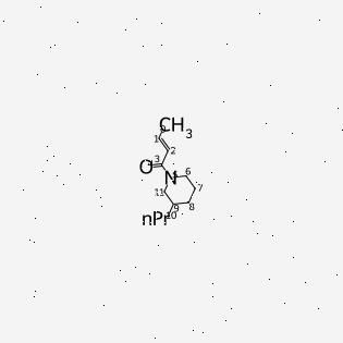 CC=CC(=O)N1CCCC(CCC)C1